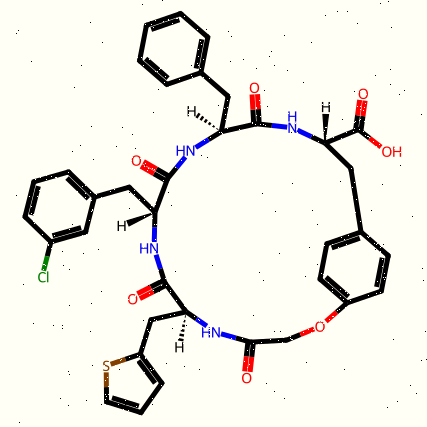 O=C1COc2ccc(cc2)C[C@@H](C(=O)O)NC(=O)[C@H](Cc2ccccc2)NC(=O)[C@@H](Cc2cccc(Cl)c2)NC(=O)[C@H](Cc2cccs2)N1